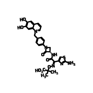 CC(C)(O/N=C(\C(=O)N[C@H]1CN(c2ccc(C[n+]3cccc4cc(O)c(O)cc43)cc2)C1=O)c1csc(N)n1)C(=O)O